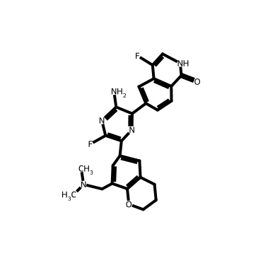 CN(C)Cc1cc(-c2nc(-c3ccc4c(=O)[nH]cc(F)c4c3)c(N)nc2F)cc2c1OCCC2